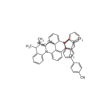 C=CC(C)c1ccccc1N(c1cccc(-c2ccc(C(F)(F)F)cc2C(F)(F)F)c1-c1c(C#N)cccc1-n1c2ccccc2c2cc(-c3ccc(C#N)cc3)ccc21)C(C)C#N